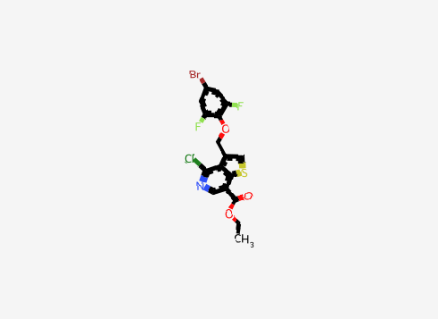 CCOC(=O)c1cnc(Cl)c2c(COc3c(F)cc(Br)cc3F)csc12